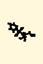 Cc1ccc(S(=O)(=O)N2C(CO)C2(C)C)cc1